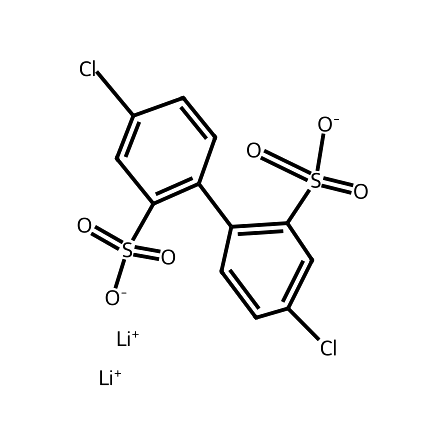 O=S(=O)([O-])c1cc(Cl)ccc1-c1ccc(Cl)cc1S(=O)(=O)[O-].[Li+].[Li+]